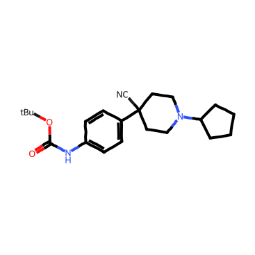 CC(C)(C)OC(=O)Nc1ccc(C2(C#N)CCN(C3CCCC3)CC2)cc1